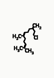 C=C(CCCl)CCC=C(C)CCC=C(C)C